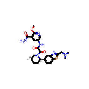 COc1ncc(NC(=O)C(=O)N2C[C@@H](C)CC[C@@H]2c2ccc3sc(CN(C)C)nc3c2)cc1C(N)=O